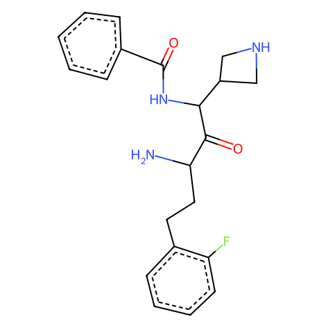 NC(CCc1ccccc1F)C(=O)C(NC(=O)c1ccccc1)C1CNC1